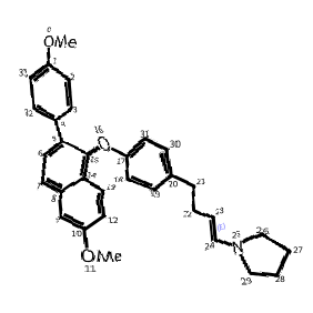 COc1ccc(-c2ccc3cc(OC)ccc3c2Oc2ccc(CC/C=C/N3CCCC3)cc2)cc1